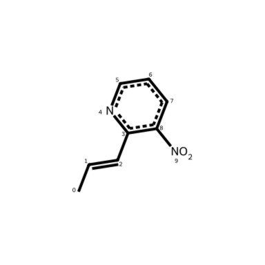 CC=Cc1ncccc1[N+](=O)[O-]